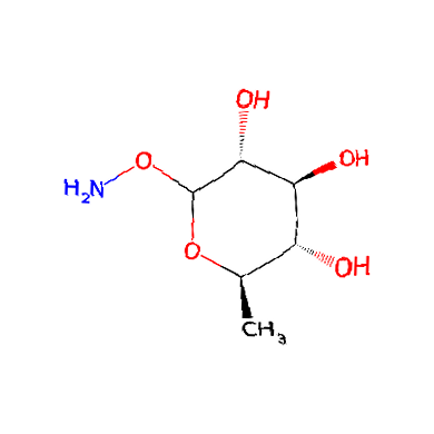 C[C@H]1OC(ON)[C@H](O)[C@@H](O)[C@@H]1O